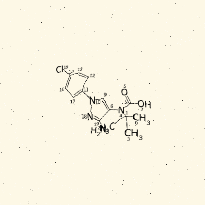 CC(C)(C)N(C(=O)O)c1cn(-c2ccc(Cl)cc2)nc1N